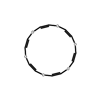 C1=COC=COC=COC=COC=COC=CO1